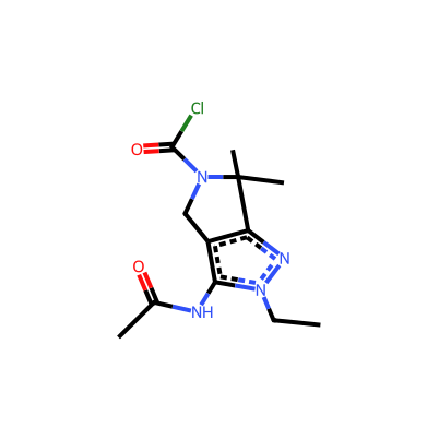 CCn1nc2c(c1NC(C)=O)CN(C(=O)Cl)C2(C)C